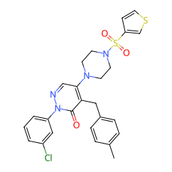 Cc1ccc(Cc2c(N3CCN(S(=O)(=O)c4ccsc4)CC3)cnn(-c3cccc(Cl)c3)c2=O)cc1